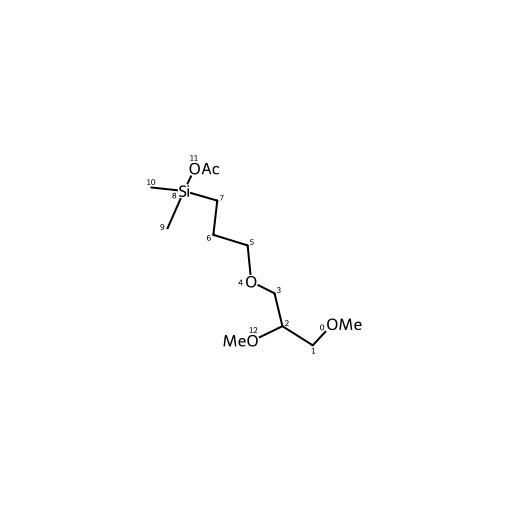 COCC(COCCC[Si](C)(C)OC(C)=O)OC